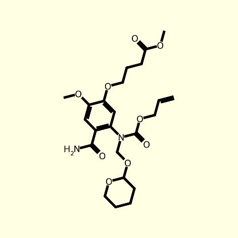 C=CCOC(=O)N(COC1CCCCO1)c1cc(OCCCC(=O)OC)c(OC)cc1C(N)=O